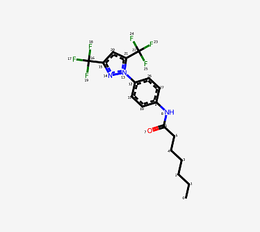 CCCCCCC(=O)Nc1ccc(-n2nc(C(F)(F)F)cc2C(F)(F)F)cc1